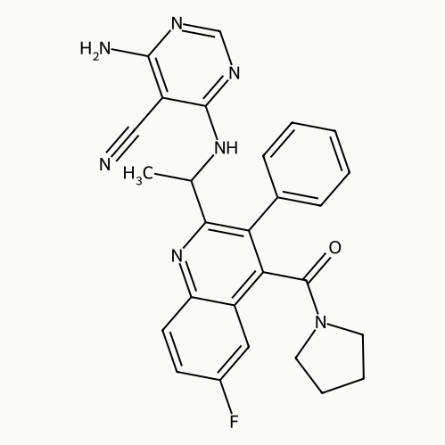 CC(Nc1ncnc(N)c1C#N)c1nc2ccc(F)cc2c(C(=O)N2CCCC2)c1-c1ccccc1